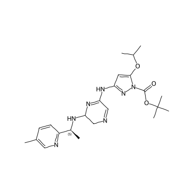 Cc1ccc([C@H](C)NC2CN=CC(Nc3cc(OC(C)C)n(C(=O)OC(C)(C)C)n3)=N2)nc1